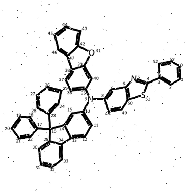 c1ccc(-c2nc3cc(N(c4ccc5c(c4)C(c4ccccc4)(c4ccccc4)c4ccccc4-5)c4ccc5c(c4)oc4ccccc45)ccc3s2)cc1